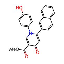 COC(=O)c1cn(-c2ccc(O)cc2)c(-c2ccc3ccccc3c2)cc1=O